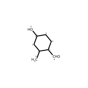 CC1CC(O)CCC1C=O